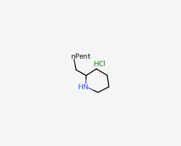 CCCCCCC1CCCCN1.Cl